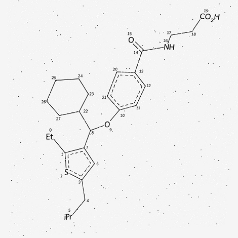 CCc1sc(CC(C)C)cc1C(Oc1ccc(C(=O)NCCC(=O)O)cc1)C1CCCCC1